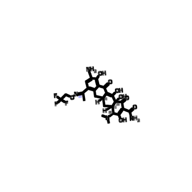 C/C(=N\OCC(F)(F)F)c1cc(N)c(O)c2c1C[C@H]1C[C@H]3[C@H](N(C)C)C(O)=C(C(N)=O)C(=O)[C@@]3(O)C(O)=C1C2=O